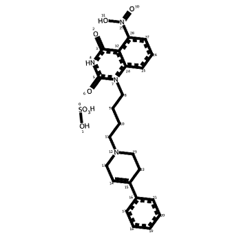 O=S(=O)(O)O.O=c1[nH]c(=O)n(CCCCN2CC=C(c3ccccc3)CC2)c2cccc([N+](=O)O)c12